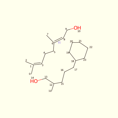 CC(C)=CCC/C(C)=C/CO.CC(CO)CCCC1CCCCC1